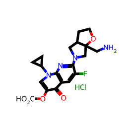 Cl.NCC12CN(c3nc4c(cc3F)c(=O)c(OC(=O)O)cn4C3CC3)CC1CCO2